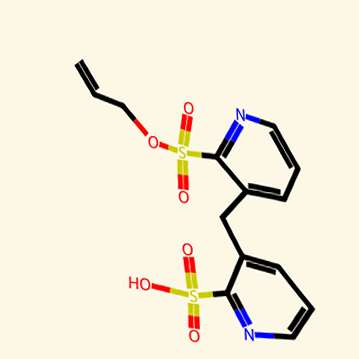 C=CCOS(=O)(=O)c1ncccc1Cc1cccnc1S(=O)(=O)O